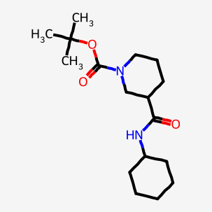 CC(C)(C)OC(=O)N1CCCC(C(=O)NC2CCCCC2)C1